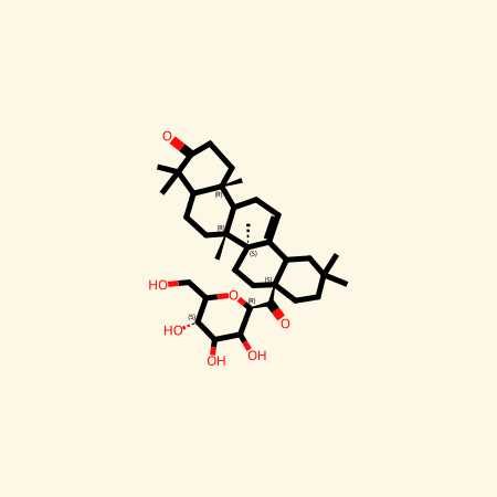 CC1(C)CC[C@]2(C(=O)[C@@H]3OC(CO)[C@@H](O)C(O)C3O)CC[C@]3(C)C(=CCC4[C@@]5(C)CCC(=O)C(C)(C)C5CC[C@]43C)C2C1